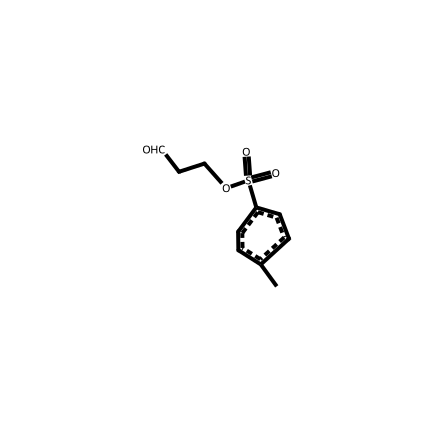 Cc1ccc(S(=O)(=O)OCCC=O)cc1